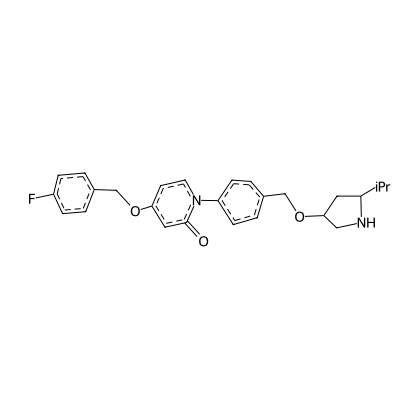 CC(C)C1CC(OCc2ccc(-n3ccc(OCc4ccc(F)cc4)cc3=O)cc2)CN1